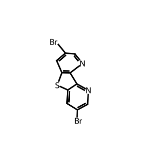 Brc1cnc2c(c1)sc1cc(Br)cnc12